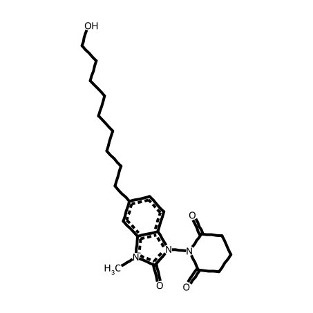 Cn1c(=O)n(N2C(=O)CCCC2=O)c2ccc(CCCCCCCCCO)cc21